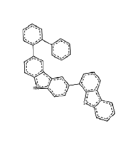 c1ccc(-c2ccccc2-c2ccc3[nH]c4ccc(-c5cccc6c5sc5ccccc56)cc4c3c2)cc1